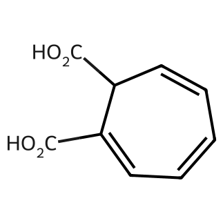 O=C(O)C1=CC=CC=CC1C(=O)O